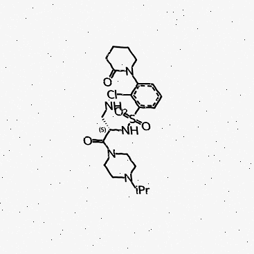 CC(C)N1CCN(C(=O)[C@H](CN)NS(=O)(=O)c2cccc(N3CCCCC3=O)c2Cl)CC1